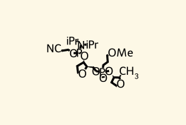 COCCCP(=O)(OC[C@H]1OCC[C@@H]1OP(OCCC#N)N(C(C)C)C(C)C)O[C@H]1CCO[C@@H]1C